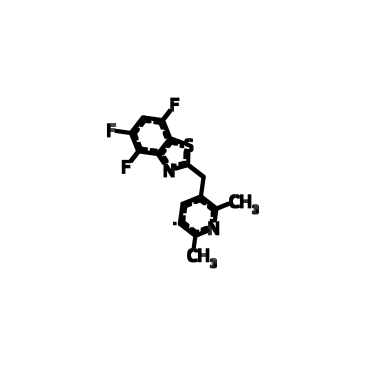 Cc1[c]cc(Cc2nc3c(F)c(F)cc(F)c3s2)c(C)n1